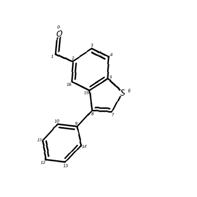 O=Cc1ccc2scc(-c3ccccc3)c2c1